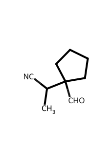 CC(C#N)C1(C=O)CCCC1